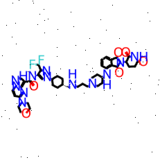 O=C1CCC(N2C(=O)c3cccc(NC4CCN(CCCNC[C@H]5CC[C@H](n6cc(NC(=O)c7cnn8ccc(N9CCOCC9)nc78)c(C(F)F)n6)CC5)CC4)c3C2=O)C(=O)N1